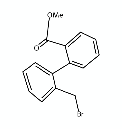 COC(=O)c1ccccc1-c1ccccc1CBr